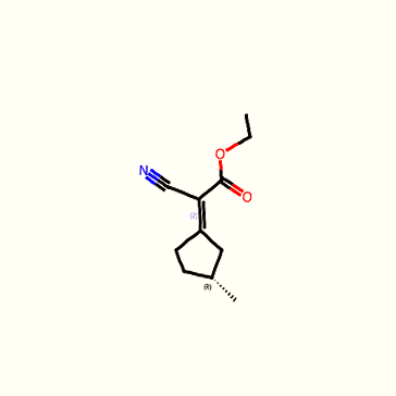 CCOC(=O)/C(C#N)=C1/CC[C@@H](C)C1